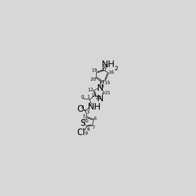 CC(NC(=O)c1ccc(Cl)s1)c1cn(-c2ccc(N)cc2)cn1